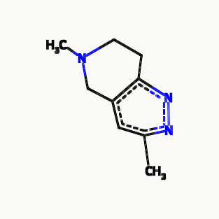 Cc1cc2c(nn1)CCN(C)C2